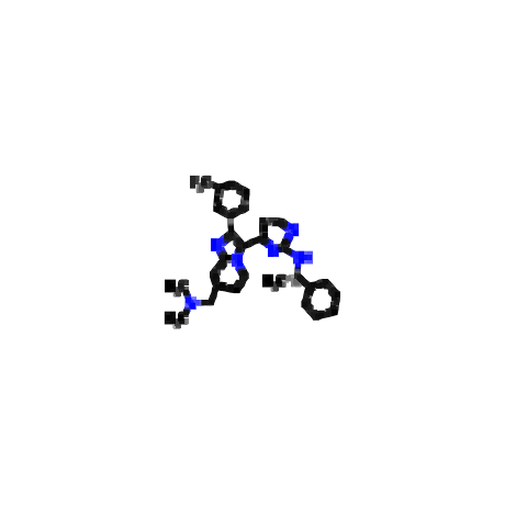 C[C@H](Nc1nccc(-c2c(-c3cccc(C(F)(F)F)c3)nc3cc(CN(C)C)ccn23)n1)c1ccccc1